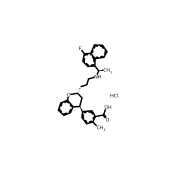 Cc1ccc([C@@H]2C[C@@H](CCCN[C@H](C)c3ccc(F)c4ccccc34)Oc3ccccc32)cc1C(=O)O.Cl